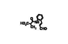 CC(C(=O)O)C(=O)Nc1ccccc1/C=C/[C]=O